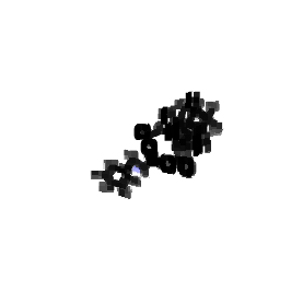 C[C@H]1[C@H](N2CC(=O)OB(/C=C/c3ccccc3)OC(=O)C2)C[C@@H]2C[C@H]1C2(C)C